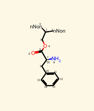 CCCCCCCCCC(CCCCCCCCC)COC(=O)[C@@H](N)Cc1ccccc1